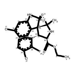 CCOC(=O)[C@@H]1NC(C)(C)[C@@]2(C(=O)Nc3cc(Cl)ccc32)[C@H]1c1cccc(Cl)c1F